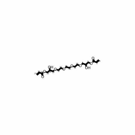 C=CC(=O)OCC(O)COCCOCCOCCOCC(O)COC(=O)C=C